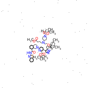 COC(=O)CCCN(CCO[C@]12CC3(C)CC(C)(C[C@@](Cn4ncc(-c5ccc(N6CCc7cccc(C(=O)Nc8nc9ccccc9s8)c7C6)nc5C(=O)OC(C)(C)C)c4C)(C3)C1)C2)C1CCN(C(=O)OC(C)(C)C)CC1